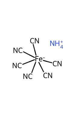 N#[C][Fe-]([C]#N)([C]#N)([C]#N)([C]#N)[C]#N.[NH4+]